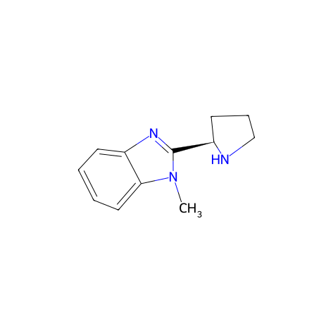 Cn1c([C@H]2CCCN2)nc2ccccc21